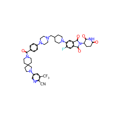 N#Cc1ncc(N2CCC3(CCN(C(=O)c4ccc(N5CCN(CC6CCN(c7cc8c(cc7F)C(=O)N(C7CCC(=O)NC7=O)C8=O)CC6)CC5)cc4)CC3)C2)cc1C(F)(F)F